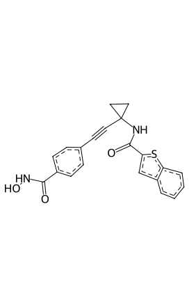 O=C(NO)c1ccc(C#CC2(NC(=O)c3cc4ccccc4s3)CC2)cc1